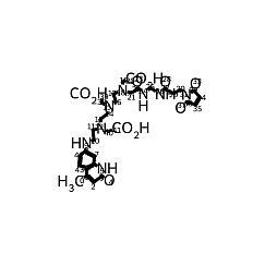 Cc1cc(=O)[nH]c2cc(NCCN(CCN(CCN(CC(=O)O)CC(=O)NCNC(=O)CCN3C(=O)C=CC3=O)CC(=O)O)CC(=O)O)ccc12